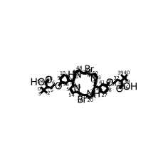 CC(C)(C)C(CCOc1cccc(-c2c3nc(c(Br)c4ccc([nH]4)c(-c4cccc(OCCC(C(=O)O)C(C)(C)C)c4)c4nc(c(Br)c5ccc2[nH]5)C=C4)C=C3)c1)C(=O)O